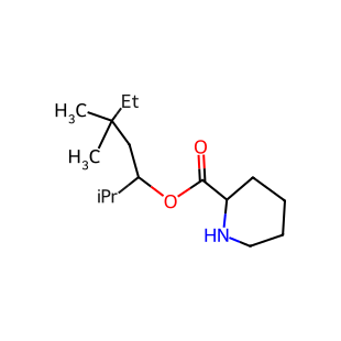 CCC(C)(C)CC(OC(=O)C1CCCCN1)C(C)C